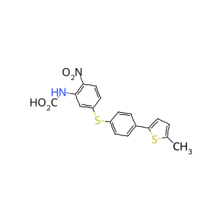 Cc1ccc(-c2ccc(Sc3ccc([N+](=O)[O-])c(NC(=O)O)c3)cc2)s1